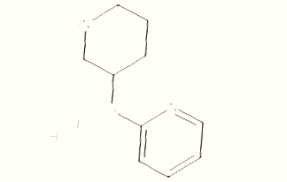 Cl.Cl.c1ccc(OC2CCCNC2)nc1